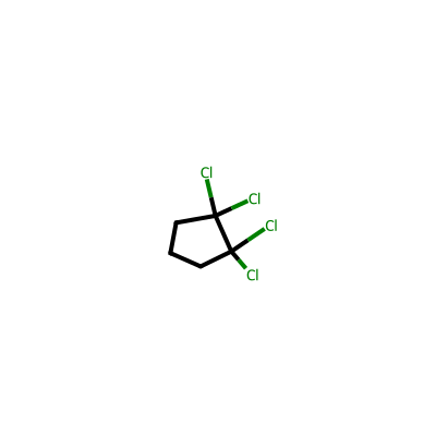 ClC1(Cl)CCCC1(Cl)Cl